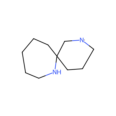 C1CCNC2(CC1)CCC[N]C2